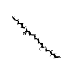 O=C(CCCCCCCC(=O)OCCCCCBr)OCCCCCBr